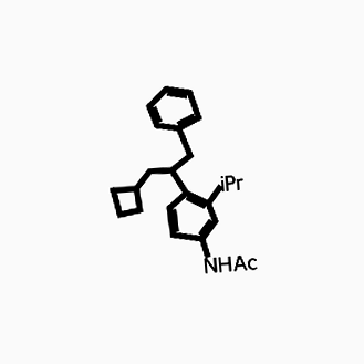 CC(=O)Nc1ccc([C](Cc2ccccc2)CC2CCC2)c(C(C)C)c1